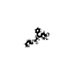 Cn1nc(-c2sc(C(=O)NCc3ccccn3)nc2-c2ccccc2)ccc1=O